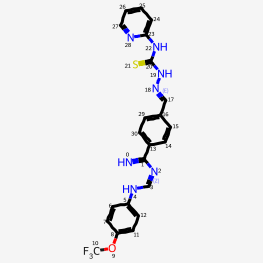 N=C(/N=C\Nc1ccc(OC(F)(F)F)cc1)c1ccc(/C=N/NC(=S)Nc2ccccn2)cc1